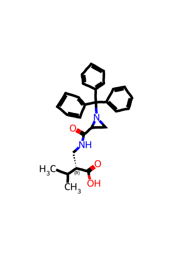 CC(C)[C@H](CNC(=O)C1CN1C(c1ccccc1)(c1ccccc1)c1ccccc1)C(=O)O